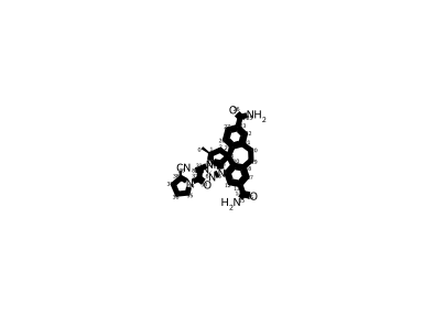 C[C@@H](CC1(c2nnn(C)n2)c2ccc(C(N)=O)cc2CCc2cc(C(N)=O)ccc21)NCC(=O)N1CCC[C@H]1C#N